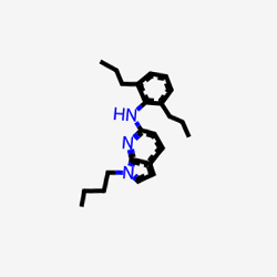 CCCCn1ccc2ccc(Nc3c(CCC)cccc3CCC)nc21